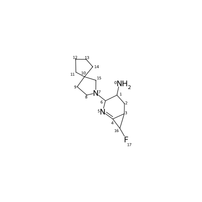 NC1CC2C(=NC1N1CCC3(CCCC3)C1)C2F